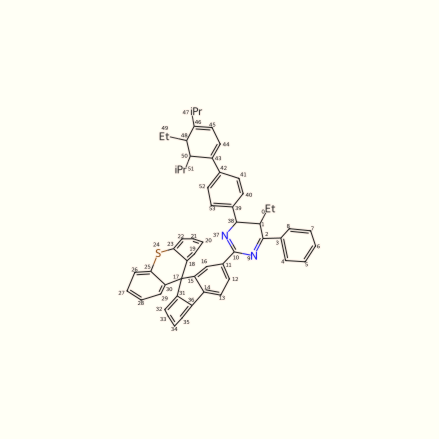 CCC1C(c2ccccc2)=NC(c2ccc3c(c2)C2(c4ccccc4Sc4ccccc42)c2ccccc2-3)=NC1c1ccc(C2=CC=C(C(C)C)C(CC)C2C(C)C)cc1